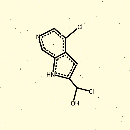 OC(Cl)c1cc2c(Cl)cncc2[nH]1